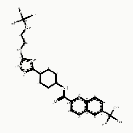 O=C(NC1CCC(c2nnc(OCCOC(F)(F)F)o2)CC1)c1ccc2cc(C(F)(F)F)ccc2n1